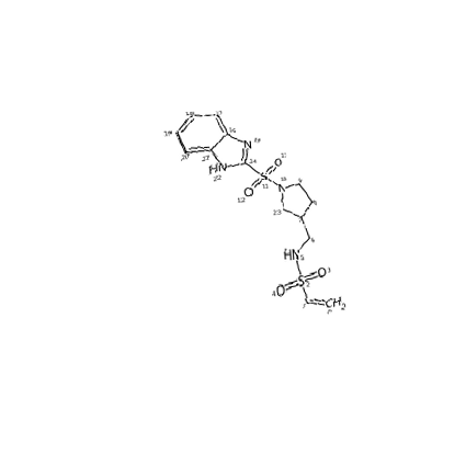 C=CS(=O)(=O)NCC1CCN(S(=O)(=O)c2nc3ccccc3[nH]2)C1